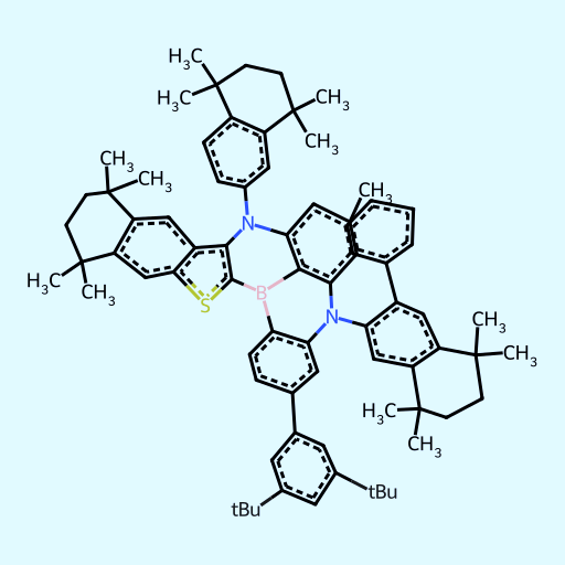 Cc1cc2c3c(c1)N(c1ccc4c(c1)C(C)(C)CCC4(C)C)c1c(sc4cc5c(cc14)C(C)(C)CCC5(C)C)B3c1ccc(-c3cc(C(C)(C)C)cc(C(C)(C)C)c3)cc1N2c1cc2c(cc1-c1ccccc1)C(C)(C)CCC2(C)C